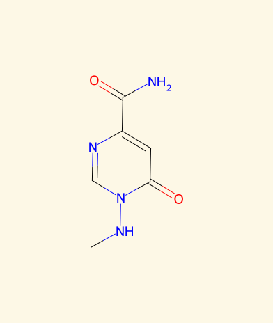 CNn1cnc(C(N)=O)cc1=O